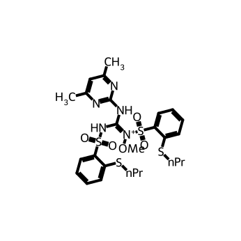 CCCSc1ccccc1S(=O)(=O)NC(Nc1nc(C)cc(C)n1)=[N+](OC)S(=O)(=O)c1ccccc1SCCC